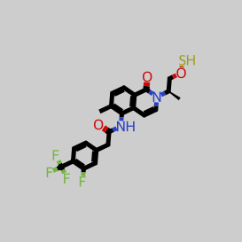 Cc1ccc2c(=O)n([C@H](C)COS)ccc2c1NC(=O)Cc1ccc(C(F)(F)F)c(F)c1